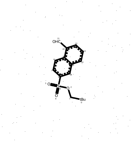 CC(C)(C)COS(=O)(=O)c1ccc2c(C=O)cccc2c1